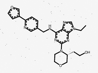 CCn1cnc2c(NCc3ccc(-c4ccoc4)nc3)nc(N3CCOC[C@H]3CCO)nc21